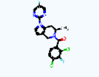 CC1Cc2c(ccn2-c2ncc(F)cn2)CN1C(=O)c1ccc(Cl)c(F)c1Cl